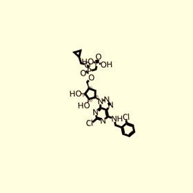 O=P(O)(O)CP(=O)(OCC1CC1)OC[C@H]1C[C@@H](n2nnc3c(NCc4ccccc4Cl)nc(Cl)nc32)[C@H](O)[C@@H]1O